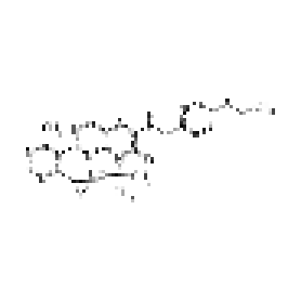 CCSc1ccc(CNc2nc3cnc(-c4c(C)ncnc4C4CC4)nc3n(C(C)(C)C)c2=O)nc1